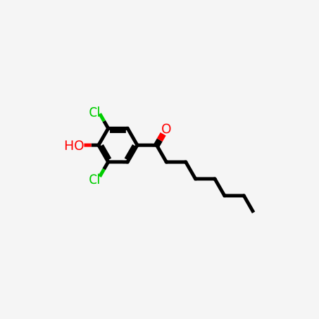 CCCCCCCC(=O)c1cc(Cl)c(O)c(Cl)c1